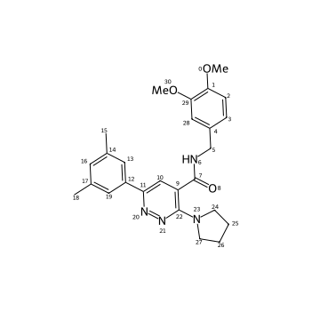 COc1ccc(CNC(=O)c2cc(-c3cc(C)cc(C)c3)nnc2N2CCCC2)cc1OC